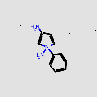 NC1=C[N+](N)(c2ccccc2)C=C1